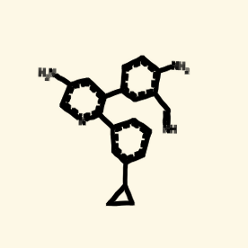 N=Cc1cc(-c2cc(N)cnc2-c2cccc(C3CC3)c2)ccc1N